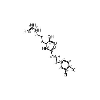 N=C(N)NCCCC(NC(=O)CNCc1ccc(Cl)c(Cl)c1)C(=O)O